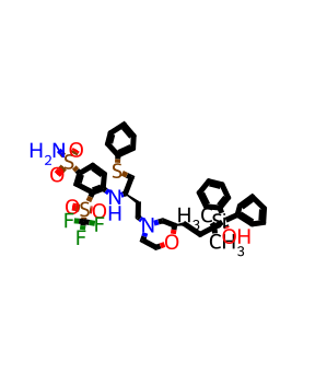 CC(C)(CC[C@@H]1CN(CC[C@H](CSc2ccccc2)Nc2ccc(S(N)(=O)=O)cc2S(=O)(=O)C(F)(F)F)CCO1)[Si](O)(c1ccccc1)c1ccccc1